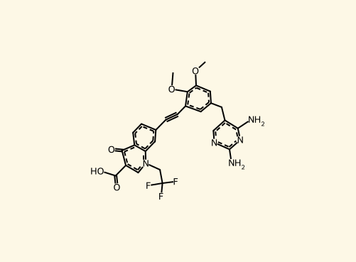 COc1cc(Cc2cnc(N)nc2N)cc(C#Cc2ccc3c(=O)c(C(=O)O)cn(CC(F)(F)F)c3c2)c1OC